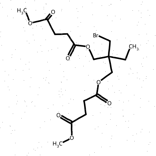 CCC(CBr)(COC(=O)CCC(=O)OC)COC(=O)CCC(=O)OC